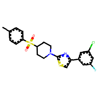 Cc1ccc(S(=O)(=O)C2CCN(c3nc(-c4cc(F)cc(Cl)c4)cs3)CC2)cc1